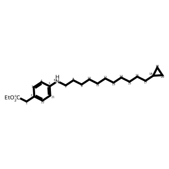 CCOC(=O)Cc1ccc(NCCCCCCCCCCCC2CC2)cc1